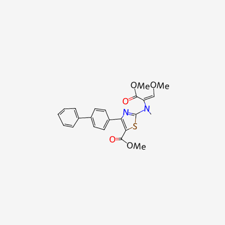 COC=C(C(=O)OC)N(C)c1nc(-c2ccc(-c3ccccc3)cc2)c(C(=O)OC)s1